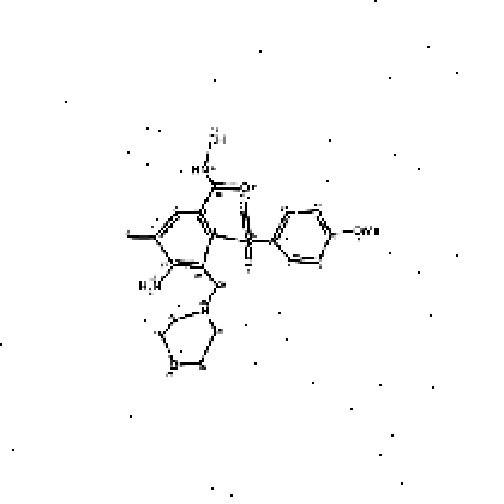 COc1ccc(S(=O)(=O)c2c(C(=O)NO)cc(C)c(N)c2CN2CCOCC2)cc1